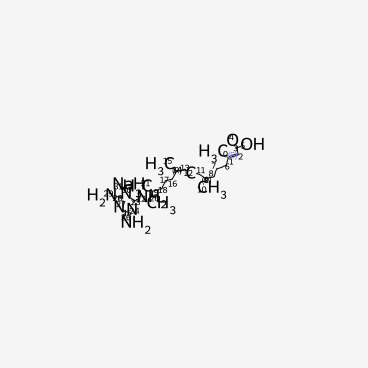 C/C(=C\C(=O)O)CCC[C@H](C)CCC[C@H](C)CCCC(C)C.Nc1nc(N)nc(N)n1.[NaH]